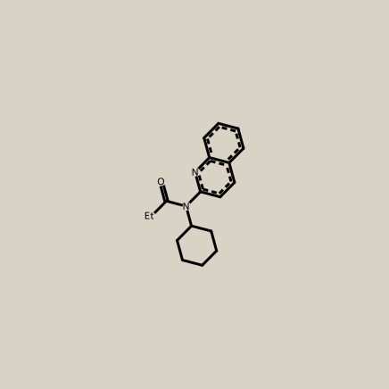 CCC(=O)N(c1ccc2ccccc2n1)C1CCCCC1